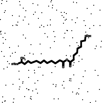 CCCCCCCCCCCCCCCCCC(=O)OC(=O)CCCCCCCCCCC(C)CCCCCC